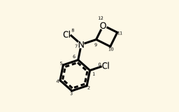 Clc1ccccc1N(Cl)C1CCO1